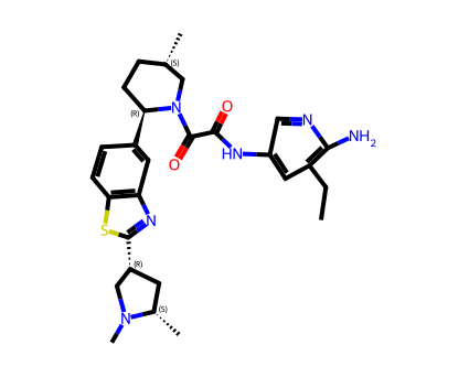 CCc1cc(NC(=O)C(=O)N2C[C@@H](C)CC[C@@H]2c2ccc3sc([C@@H]4C[C@H](C)N(C)C4)nc3c2)cnc1N